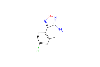 Cc1cc(Cl)ccc1-c1nonc1N